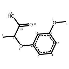 COc1cccc(OC(C)C(=O)O)c1